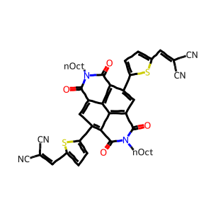 CCCCCCCCN1C(=O)c2cc(-c3ccc(C=C(C#N)C#N)s3)c3c4c(cc(-c5ccc(C=C(C#N)C#N)s5)c(c24)C1=O)C(=O)N(CCCCCCCC)C3=O